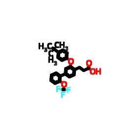 CC(C)(C)c1ccc(Oc2cc(-c3ccccc3OC(F)(F)F)ccc2CCC(=O)O)cc1